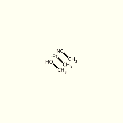 CC#N.CO.C[CH]C